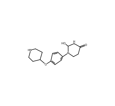 O=C1CCN(c2ccc(OC3CCNCC3)cc2)C(O)N1